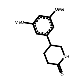 COc1cc(OC)cc(C2CCC(=O)NC2)c1